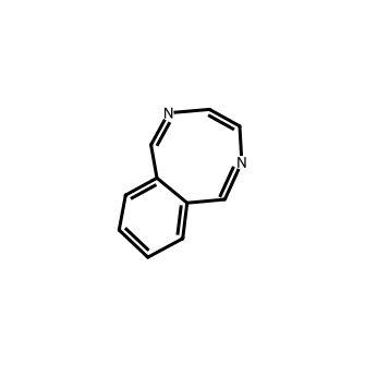 C1=CN=Cc2ccccc2C=N1